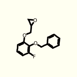 Fc1cccc(OCC2CO2)c1OCc1ccccc1